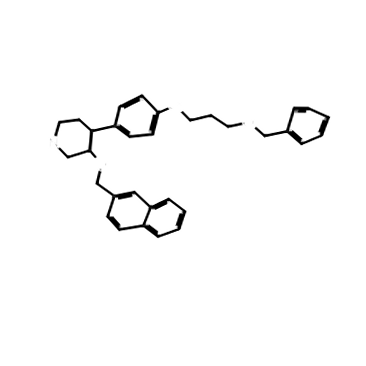 c1ccc(COCCCOc2ccc(C3CCNCC3OCc3ccc4ccccc4c3)cc2)cc1